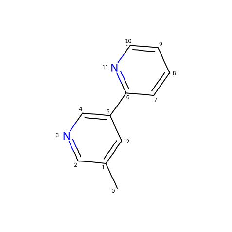 Cc1cncc(-c2ccc[c]n2)c1